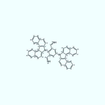 N=Cc1cc(-n2c3ccc4ccccc4c3c3c4ccccc4ccc32)cc(C=N)c1-n1c2ccc3ccccc3c2c2c3ccccc3ccc21